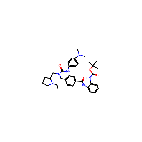 CCN1CCCC1CN(Cc1ccc(C(=O)Nc2ccccc2NC(=O)OC(C)(C)C)cc1)C(=O)Nc1ccc(N(C)C)cc1